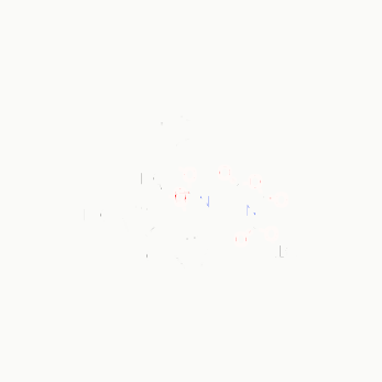 C[C@@H](OC[C@@]1(c2ccccc2)CCC2(CN1C(=O)OCc1ccccc1)C(=O)OC(=O)N2C(=O)OC(C)(C)C)c1cc(C(F)(F)F)cc(C(F)(F)F)c1